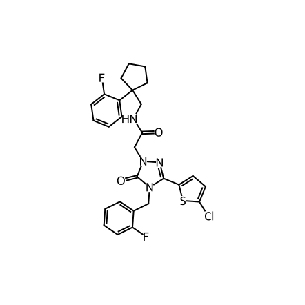 O=C(Cn1nc(-c2ccc(Cl)s2)n(Cc2ccccc2F)c1=O)NCC1(c2ccccc2F)CCCC1